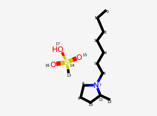 CCCCCCCN1CCCC1C.CS(=O)(=O)O